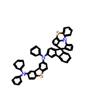 c1ccc(N(c2ccccc2)c2ccc3sc4ccc(N(c5ccccc5)c5ccc6c(c5)-c5ccccc5C65c6ccccc6N6c7ccccc7Sc7cccc5c76)cc4c3c2)cc1